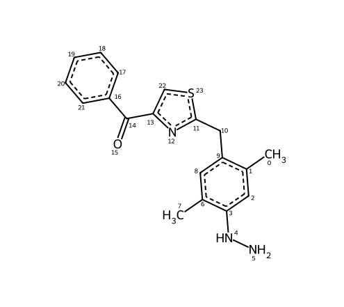 Cc1cc(NN)c(C)cc1Cc1nc(C(=O)c2ccccc2)cs1